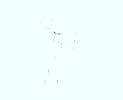 CC(C)(C)n1nc([C@H]2CC[C@H](O)C2)cc1NC(=O)OCc1ccccc1